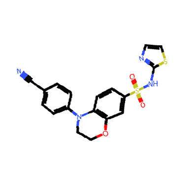 N#Cc1ccc(N2CCOc3cc(S(=O)(=O)Nc4nccs4)ccc32)cc1